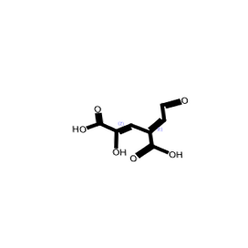 O=C/C=C(\C=C(/O)C(=O)O)C(=O)O